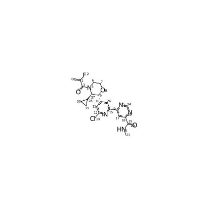 C=C(F)C(=O)N1CCO[C@H](c2cc(Cl)nc(-c3cc(C(=O)NC)ncn3)c2)[C@H]1C1CC1